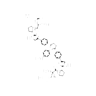 COC(=O)N[C@H](C(=O)N1CCC[C@H]1c1nc(-c2ccc([C@H]3CC[C@H](c4ccc(-c5c[nH]c([C@@H]6CCCN6C(=O)[C@@H](N(C)C(=O)O)C(C)(C)C)n5)cc4)N3c3ccc(C(C)(C)C)cc3)cc2)c[nH]1)C(C)(C)C